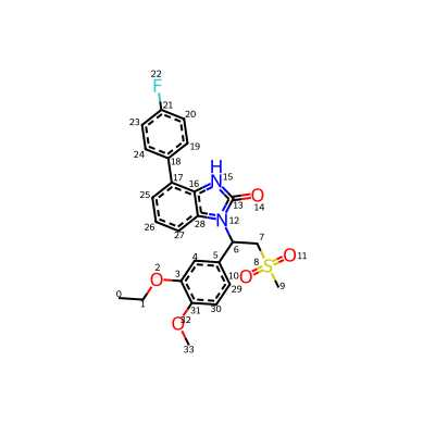 CCOc1cc(C(CS(C)(=O)=O)n2c(=O)[nH]c3c(-c4ccc(F)cc4)cccc32)ccc1OC